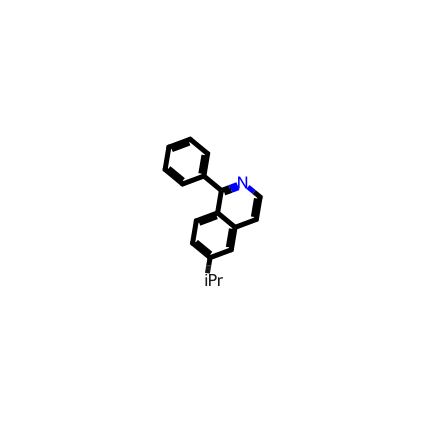 CC(C)c1ccc2c(-c3ccccc3)nccc2c1